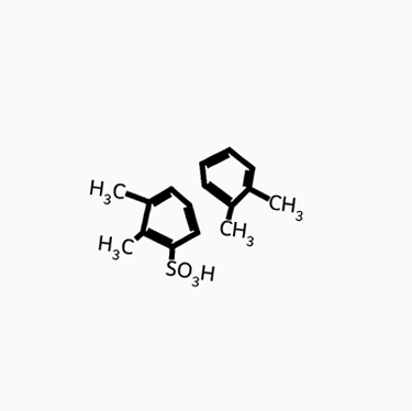 Cc1cccc(S(=O)(=O)O)c1C.Cc1ccccc1C